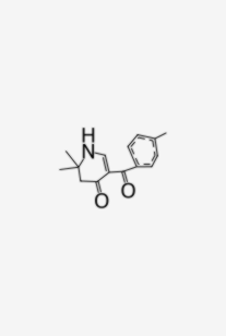 Cc1ccc(C(=O)C2=CNC(C)(C)CC2=O)cc1